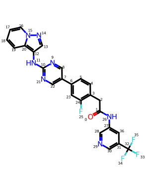 O=C(Cc1ccc(-c2cnc(Nc3cnn4ccccc34)nc2)cc1F)Nc1cncc(C(F)(F)F)c1